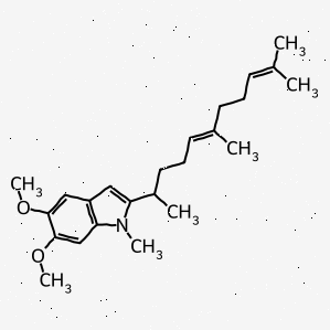 COc1cc2cc(C(C)CC/C=C(\C)CCC=C(C)C)n(C)c2cc1OC